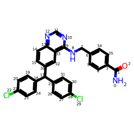 NC(=O)c1ccc(CNc2ncnc3ccc(C(c4ccc(Cl)cc4)c4ccc(Cl)cc4)cc23)cc1